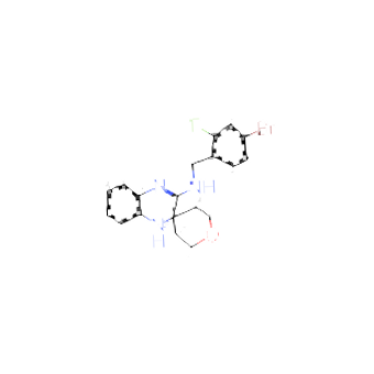 Fc1cc(Br)ccc1CNC1=Nc2ccccc2NC12CCOCC2